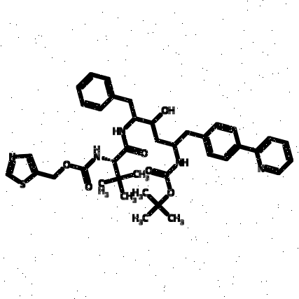 CC(C)(C)OC(=O)NC(Cc1ccc(-c2ccccn2)cc1)CC(O)C(Cc1ccccc1)NC(=O)[C@@H](NC(=O)OCc1cncs1)C(C)(C)C